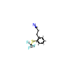 N#CCCc1ccccc1SC(F)(F)F